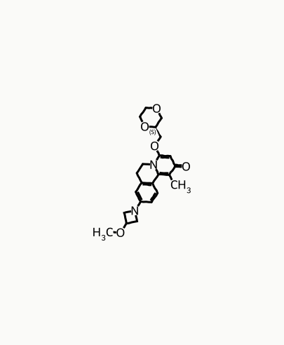 COC1CN(c2ccc3c(c2)CCn2c(OC[C@@H]4COCCO4)cc(=O)c(C)c2-3)C1